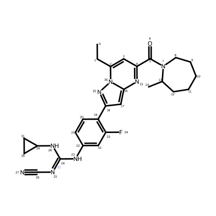 CCc1cc(C(=O)N2CCCCCC2C)nc2cc(-c3ccc(N/C(=N/C#N)NC4CC4)cc3F)nn12